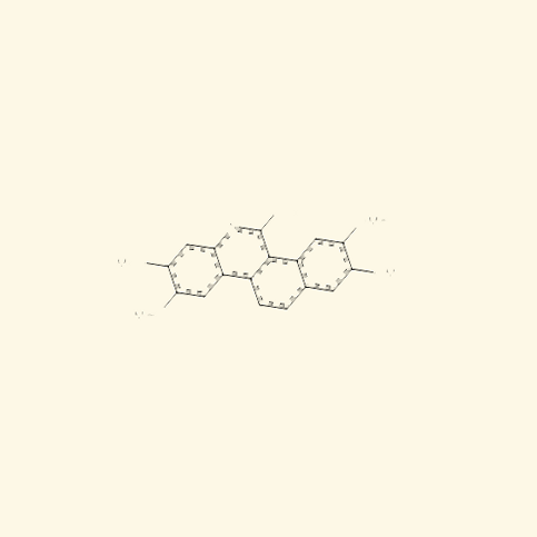 COc1cc2ccc3c4cc(OC)c(OC)cc4nc(C)c3c2cc1OC